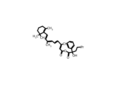 CC(C=CC1=C(C)CCCC1(C)C)=CC=CC(C)=CC(=O)OC(=O)C(O)(CCC(C)C)c1ccccc1